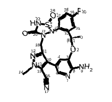 C[C@H]1Oc2cc(cnc2N)-c2c(nn(C)c2C#N)CN2C(=O)N[S+]([O-])N2c2ccc(F)cc21